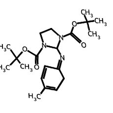 CC1=CCC(=NC2N(C(=O)OC(C)(C)C)CCN2C(=O)OC(C)(C)C)C=C1